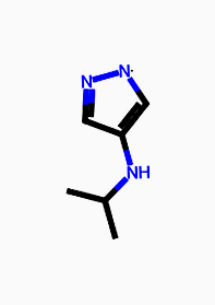 CC(C)NC1=C[N]N=C1